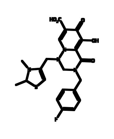 CC1SC=C(CN2CN(Cc3ccc(F)cc3)C(=O)c3c(O)c(=O)c(C(=O)O)cn32)N1C